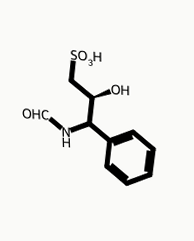 O=CNC(c1ccccc1)[C@H](O)CS(=O)(=O)O